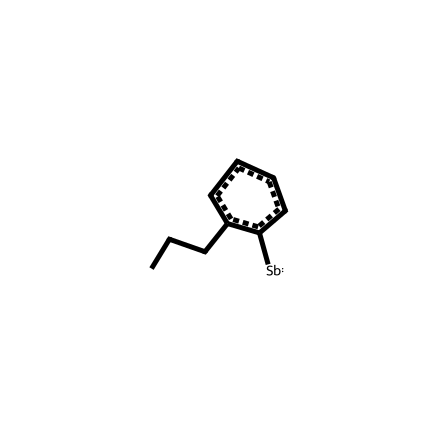 CCCc1cccc[c]1[Sb]